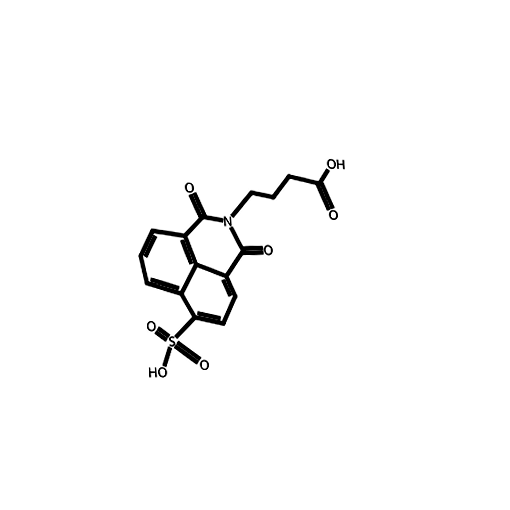 O=C(O)CCCN1C(=O)c2cccc3c(S(=O)(=O)O)ccc(c23)C1=O